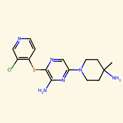 CC1(N)CCN(c2cnc(Sc3ccncc3Cl)c(N)n2)CC1